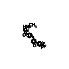 CSNc1ccn(C(=O)N2CCN(Cc3ccc(Cl)c(-c4ccc(C(F)(F)F)nc4)c3)CC2)n1